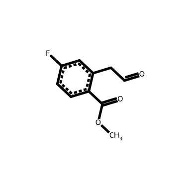 COC(=O)c1ccc(F)cc1CC=O